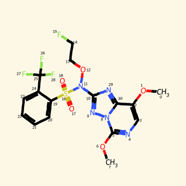 COc1cnc(OC)n2nc(N(OCCF)S(=O)(=O)c3ccccc3C(F)(F)F)nc12